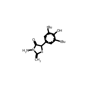 C=C1SC(c2cc(C(C)(C)C)c(O)c(C(C)(C)C)c2)C(=O)N1N